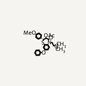 COc1ccc([C@H]2Sc3cc(Oc4ccccc4)ccc3N(CCN(C)C)C(=O)[C@H]2OC(C)=O)cc1